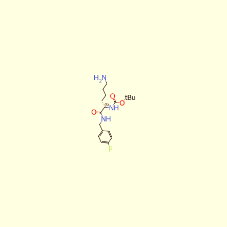 CC(C)(C)OC(=O)N[C@@H](CCCCN)C(=O)NCc1ccc(F)cc1